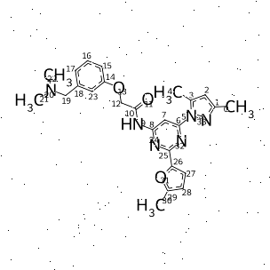 Cc1cc(C)n(-c2cc(NC(=O)COc3cccc(CN(C)C)c3)nc(-c3ccc(C)o3)n2)n1